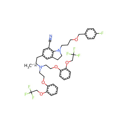 C[C@H](Cc1cc(C#N)c2c(c1)CCN2CCCOCc1ccc(F)cc1)N(CCOc1ccccc1OCC(F)(F)F)CCOc1ccccc1OCC(F)(F)F